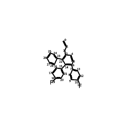 C=CCc1c[c]c(-c2ccc(F)cc2)c(-c2ccc(F)cc2)c1-c1ccccc1